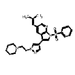 CC(C)=Cc1cnc2c(c1)c(-c1cnn(CCN3CCCCC3)c1)cn2S(=O)(=O)c1ccccc1